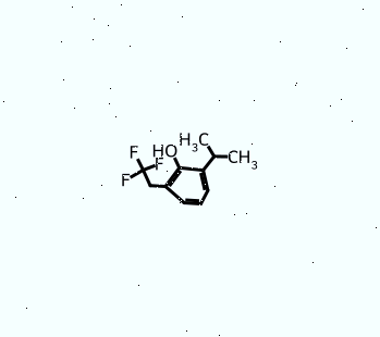 CC(C)c1cccc(CC(F)(F)F)c1O